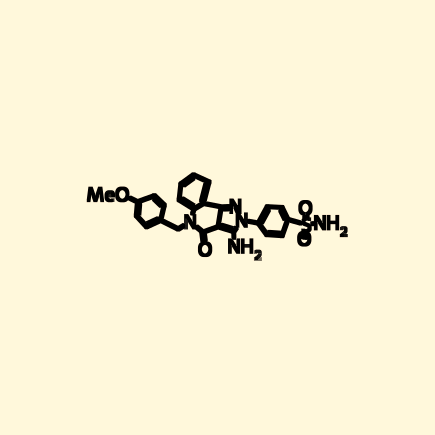 COc1ccc(Cn2c(=O)c3c(N)n(-c4ccc(S(N)(=O)=O)cc4)nc3c3ccccc32)cc1